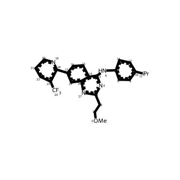 COCCc1nc(Nc2ccc(C(C)C)cc2)c2ccc(-c3ncccc3C(F)(F)F)cc2n1